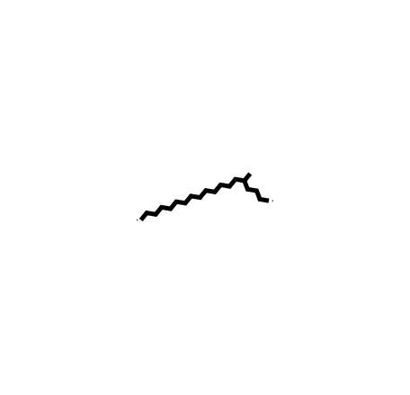 [CH2]CCCCCCCCCCCCCC(C)CCC[CH2]